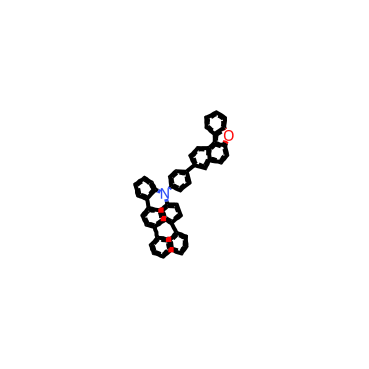 c1ccc(-c2ccc(-c3ccccc3N(c3ccc(-c4ccccc4)cc3)c3ccc(-c4ccc5c(ccc6oc7ccccc7c65)c4)cc3)cc2)cc1